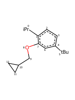 CC(C)c1ccc(C(C)(C)C)cc1OCC1CC1